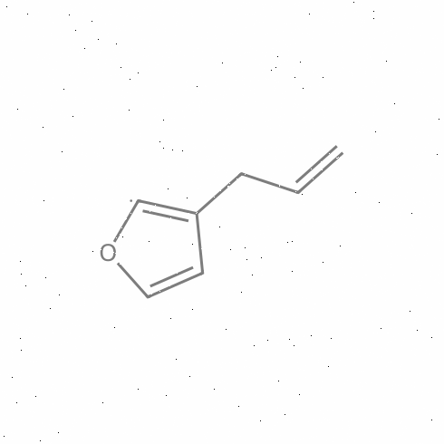 C=CCc1[c]occ1